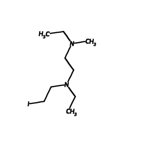 CCN(C)CCN(CC)CCI